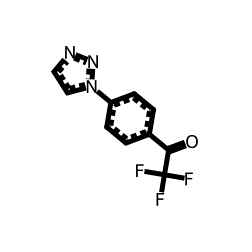 O=C(c1ccc(-n2ccnn2)cc1)C(F)(F)F